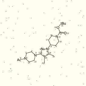 CC(=O)N1CCN(c2nn(C3CCN(C(=O)OC(C)(C)C)CC3)c(C)c2I)CC1